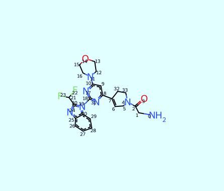 NCC(=O)N1CC=C(c2cc(N3CCOCC3)nc(-n3c(C(F)F)nc4ccccc43)n2)CC1